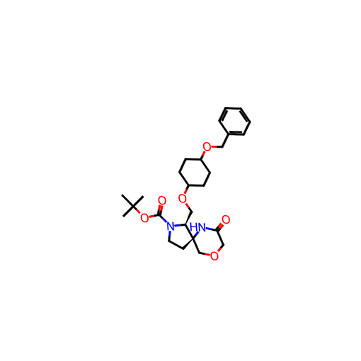 CC(C)(C)OC(=O)N1CC[C@@]2(COCC(=O)N2)[C@@H]1COC1CCC(OCc2ccccc2)CC1